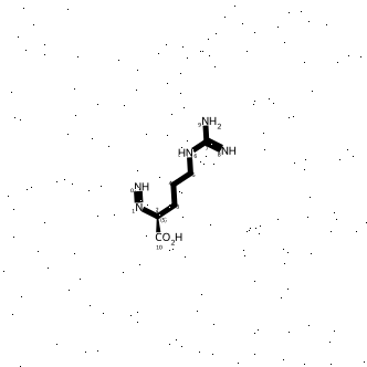 N=N[C@@H](CCCNC(=N)N)C(=O)O